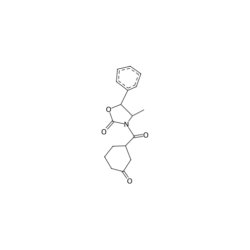 CC1C(c2ccccc2)OC(=O)N1C(=O)C1CCCC(=O)C1